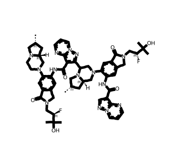 C[C@@H]1C[C@@H]2CN(c3cc4c(cc3NC(=O)c3c(C5CN(c6cc7c(cc6NC(=O)c6cnn8cccnc68)CN(C[C@@H](F)C(C)(C)O)C7=O)C[C@H]6C[C@H](C)CN56)nn5cccnc35)CN(C[C@@H](F)C(C)(C)O)C4=O)CCN2C1